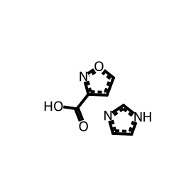 O=C(O)c1ccon1.c1c[nH]cn1